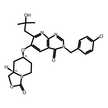 CC(C)(O)Cc1nc2ncn(Cc3ccc(Cl)cc3)c(=O)c2cc1O[C@H]1CCN2C(=O)OC[C@@H]2C1